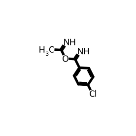 CC(=N)OC(=N)c1ccc(Cl)cc1